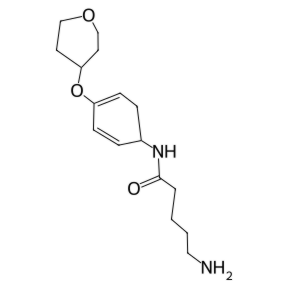 NCCCCC(=O)NC1C=CC(OC2CCOCC2)=CC1